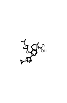 CC(C)N1CC(Oc2c(-c3cnn(C4CC4)c3)ccc3c2CCC(C)N3C(=O)O)C1